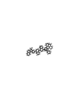 CC1(C)c2ccccc2-c2c(-c3cc(-c4ccc(-c5ccc(-c6ccc7c(c6)C(C)(C)c6ccc8ccccc8c6-7)c6ccccc56)c5ccccc45)nc(-c4ccccc4)n3)cccc21